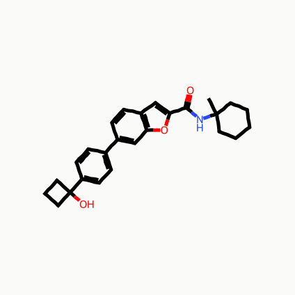 CC1(NC(=O)c2cc3ccc(-c4ccc(C5(O)CCC5)cc4)cc3o2)CCCCC1